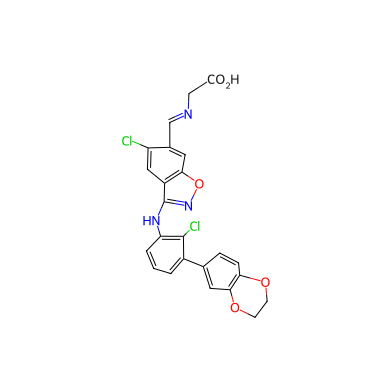 O=C(O)CN=Cc1cc2onc(Nc3cccc(-c4ccc5c(c4)OCCO5)c3Cl)c2cc1Cl